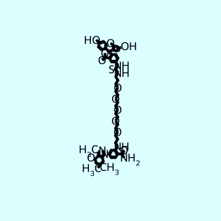 Cc1nn(-c2ccc(C(N)=O)c(NCCCOCCOCCOCCOCCOCCCNC(=S)Nc3ccc4c(c3)C(=O)OC43c4ccc(O)cc4Oc4cc(O)ccc43)c2)c2c1C(=O)CC(C)(C)C2